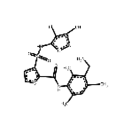 Cc1cc(C)c(NC(=O)c2sccc2S(=O)(=O)Nc2onc(C)c2Cl)c(C)c1CN